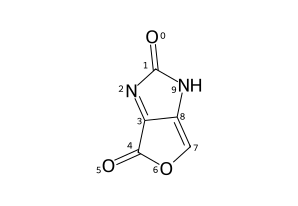 O=C1N=C2C(=O)OC=C2N1